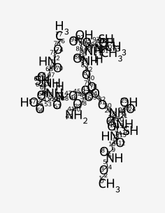 CCCOCCNC(=O)CCC(=O)NC(CS)C(=O)NC(CCC(=O)O)C(=O)NCCOCCOC(OCCOCCN)(OCCOCCNC(=O)C(CCC(=O)O)NC(=O)C(CS)NC(=O)CCC(=O)NCCOCCC)OCCOCCNC(=O)C(CCC(=O)O)NC(=O)C(CS)NC(C)(C)C